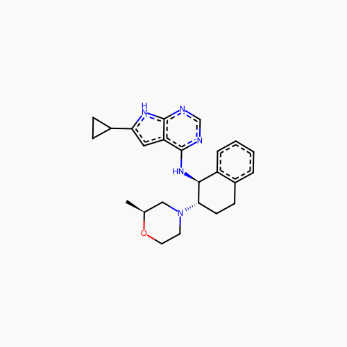 C[C@H]1CN([C@H]2CCc3ccccc3[C@@H]2Nc2ncnc3[nH]c(C4CC4)cc23)CCO1